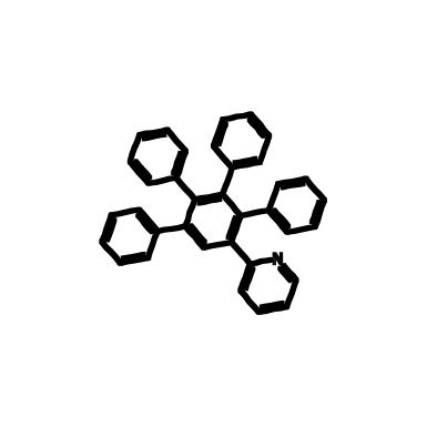 c1ccc(-c2cc(-c3ccccn3)c(-c3ccccc3)c(-c3ccccc3)c2-c2ccccc2)cc1